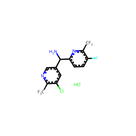 Cl.NC(c1cnc(C(F)(F)F)c(Cl)c1)c1ccc(F)c(C(F)(F)F)n1